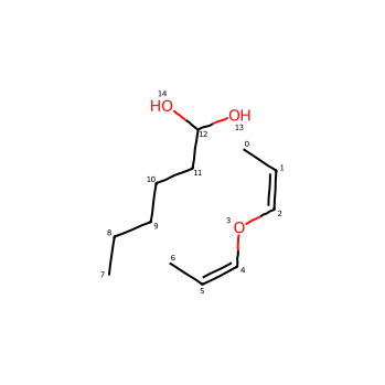 C/C=C\O/C=C\C.CCCCCC(O)O